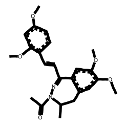 COc1ccc(C=CC2=NN(C(C)=O)C(C)Cc3cc(OC)c(OC)cc32)c(OC)c1